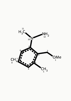 C.COCc1c(C)cccc1N(C)N